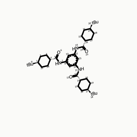 CC(C)(C)[C@H]1CC[C@H](C(=O)Nc2cc(NC(=O)[C@H]3CC[C@H](C(C)(C)C)CC3)cc(NC(=O)[C@H]3CC[C@H](C(C)(C)C)CC3)c2)CC1